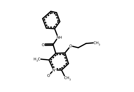 CCCOc1cc(C)[n+]([O-])c(C)c1C(=O)Nc1ccccc1